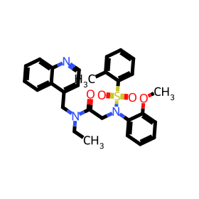 CCN(Cc1ccnc2ccccc12)C(=O)CN(c1ccccc1OC)S(=O)(=O)c1ccccc1C